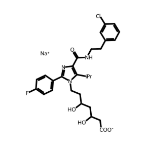 CC(C)c1c(C(=O)NCCc2cccc(Cl)c2)nc(-c2ccc(F)cc2)n1CCC(O)CC(O)CC(=O)[O-].[Na+]